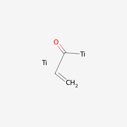 C=C[C](=O)[Ti].[Ti]